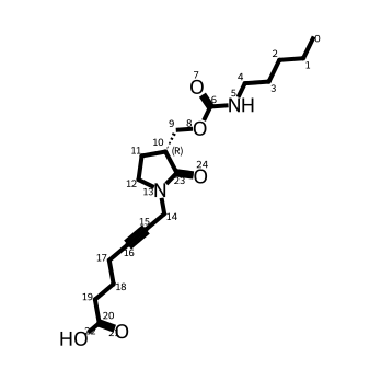 CCCCCNC(=O)OC[C@H]1CCN(CC#CCCCC(=O)O)C1=O